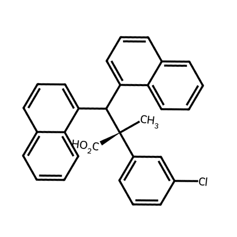 C[C@](C(=O)O)(c1cccc(Cl)c1)C(c1cccc2ccccc12)c1cccc2ccccc12